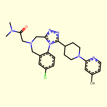 CN(C)C(=O)CN1Cc2cc(Cl)ccc2-n2c(nnc2C2CCN(c3cc(C#N)ccn3)CC2)C1